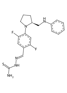 NC(=S)NN=Cc1cc(F)c(N2CCC[C@H]2CNc2ccccc2)cc1F